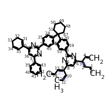 C=C/C=C(\C=C)c1cc(C(/C=C\C)=C/C=C)nc(-c2ccc(C3(c4ccc(-c5nc(C6=CCCC=C6)cc(-c6ccccc6)n5)cc4)CCCCC3)cc2)n1